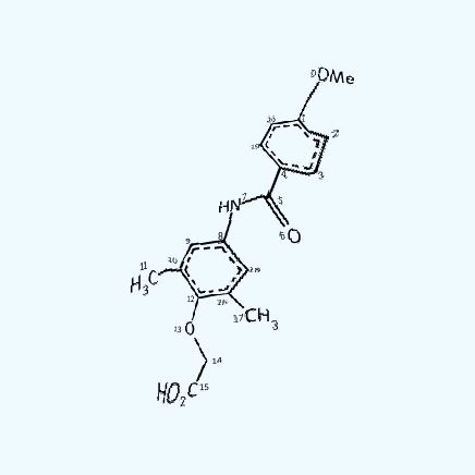 COc1ccc(C(=O)Nc2cc(C)c(OCC(=O)O)c(C)c2)cc1